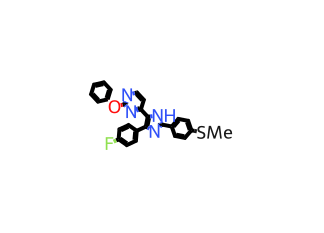 CSc1ccc(-c2nc(-c3ccc(F)cc3)c(-c3ccnc(Oc4ccccc4)n3)[nH]2)cc1